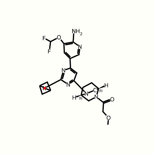 COCC(=O)N1C[C@@H]2CC[C@H]1CN2c1cc(-c2cnc(N)c(OC(F)F)c2)nc(N2CC3CC2C3)n1